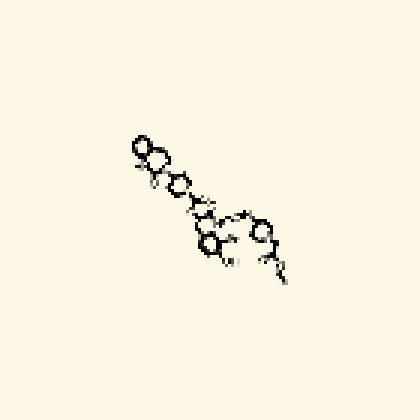 CCOC(=O)CN1CCC(N=C=C=NC(=O)[C@@H](Cc2ccc(O)c(Br)c2)OC(=O)N2CCC(N3CCc4ccccc4NC3=O)CC2)CC1